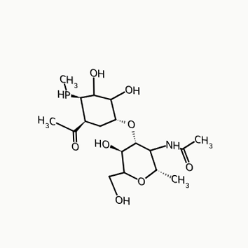 CP[C@H]1C(O)C(O)[C@H](O[C@@H]2C(NC(C)=O)[C@H](C)OC(CO)[C@H]2O)C[C@H]1C(C)=O